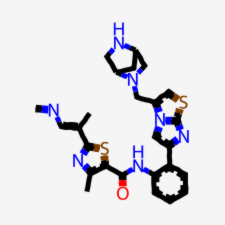 C=N/C=C(\C)c1nc(C)c(C(=O)Nc2ccccc2-c2cn3c(CN4CC5CC4CN5)csc3n2)s1